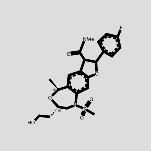 CNC(=O)C1c2cc3c(cc2OC1c1ccc(F)cc1)N(S(C)(=O)=O)C[C@H](CCO)O[C@H]3C